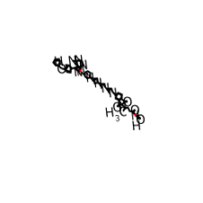 CC(CCC(=O)NC=O)N1C(=O)c2ccc(N3CC(N4CC(N5CC(N6CCC(n7nc(-c8ccc(Oc9ccccc9)cc8)c8c(N)ncnc87)CC6)C5)C4)C3)cc2C1=O